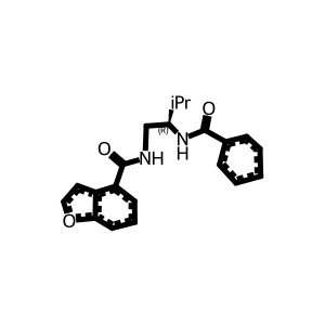 CC(C)[C@H](CNC(=O)c1cccc2occc12)NC(=O)c1ccccc1